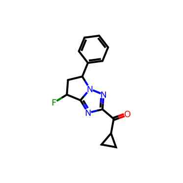 O=C(c1nc2n(n1)C(c1ccccc1)CC2F)C1CC1